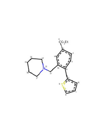 CCOC(=O)c1ccc(-c2cccs2)c(CN2CCCCC2)c1